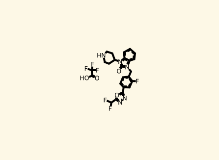 O=C(O)C(F)(F)F.O=c1n(Cc2ccc(-c3nnc(C(F)F)o3)cc2F)c2ccccc2n1C1CCNCC1